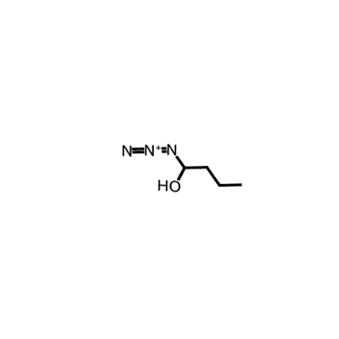 CCCC(O)N=[N+]=[N-]